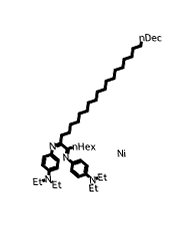 CCCCCCCCCCCCCCCCCCCCCCCCCCCCC(=Nc1ccc(N(CC)CC)cc1)C(CCCCCC)=Nc1ccc(N(CC)CC)cc1.[Ni]